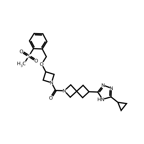 CS(=O)(=O)c1ccccc1COC1CN(C(=O)N2CC3(CC(c4nnc(C5CC5)[nH]4)C3)C2)C1